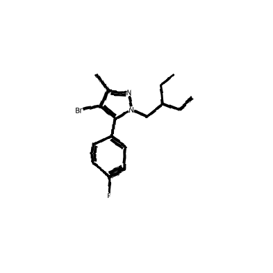 CCC(CC)Cn1nc(C)c(Br)c1-c1ccc(F)cc1